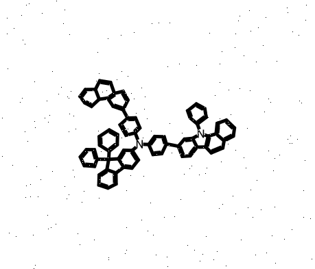 C1=CC2C=Cc3ccc(-c4ccc(N(c5ccc(-c6ccc7c8ccc9ccccc9c8n(-c8ccccc8)c7c6)cc5)c5ccc6c(c5)C(c5ccccc5)(c5ccccc5)c5ccccc5-6)cc4)cc3C2C=C1